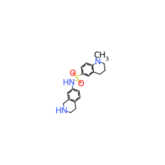 CN1CCCc2cc(S(=O)(=O)Nc3ccc4c(c3)CNCC4)ccc21